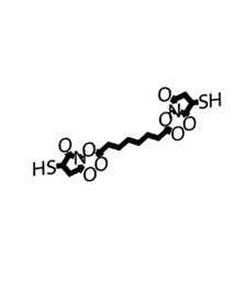 O=C(CCCCCCC(=O)ON1C(=O)CC(S)C1=O)ON1C(=O)CC(S)C1=O